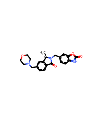 C[C@@H]1c2cc(CN3CCOCC3)ccc2C(=O)N1Cc1ccc2[nH]c(=O)oc2c1